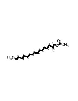 CCCCCCCC/C=C/CCCCCC(=O)COC(C)=O